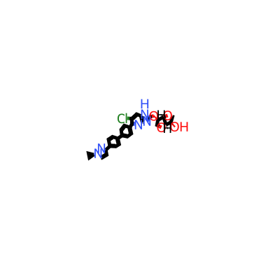 O[C@@H]1CO[C@H]2[C@@H]1OC[C@H]2Oc1nc2nc(-c3ccc(-c4ccc(-c5ccn(C6CC6)n5)cc4)cc3)c(Cl)cc2[nH]1